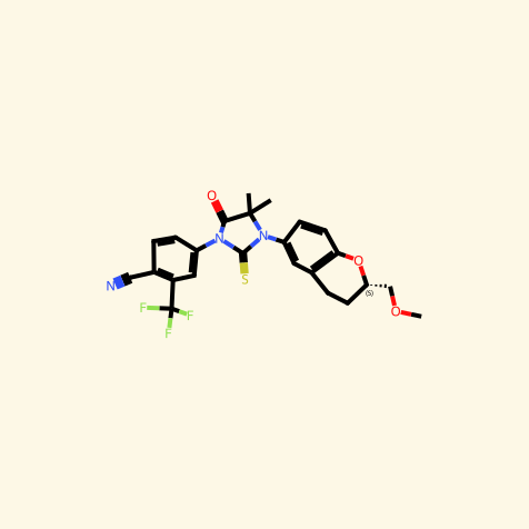 COC[C@@H]1CCc2cc(N3C(=S)N(c4ccc(C#N)c(C(F)(F)F)c4)C(=O)C3(C)C)ccc2O1